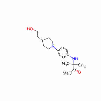 COC(=O)C(C)(C)Nc1ccc(N2CCC(CCO)CC2)cc1